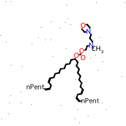 CCCCC/C=C\C/C=C\CCCCCCCCC(CCCCCCCC/C=C\C/C=C\CCCCC)OC(=O)OCCN(C)CCCN1CCOCC1